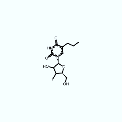 CCCc1cn([C@H]2O[C@@H](CO)C(I)C2O)c(=O)[nH]c1=O